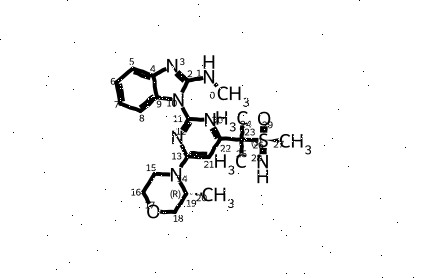 CNc1nc2ccccc2n1-c1nc(N2CCOC[C@H]2C)cc(C(C)(C)[S@@](C)(=N)=O)n1